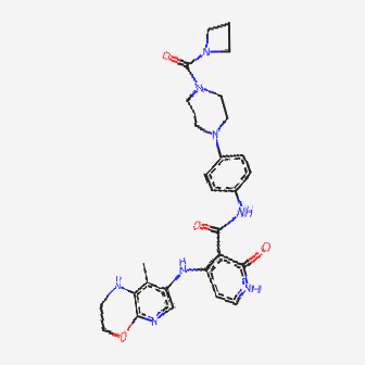 Cc1c(Nc2cc[nH]c(=O)c2C(=O)Nc2ccc(N3CCN(C(=O)N4CCC4)CC3)cc2)cnc2c1NCCO2